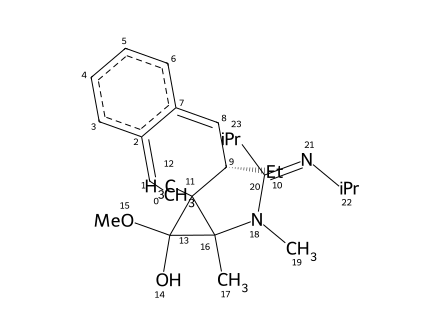 C/C=c1/cccc/c1=C/[C@H](CC)C1(C)C(O)(OC)C1(C)N(C)/C(=N\C(C)C)C(C)C